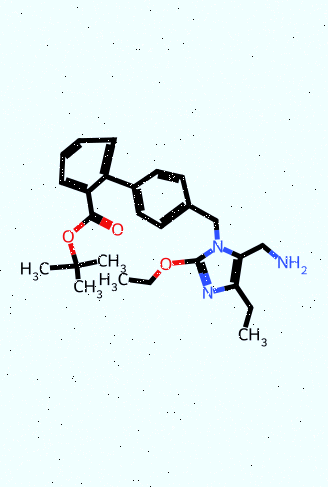 CCOc1nc(CC)c(CN)n1Cc1ccc(-c2ccccc2C(=O)OC(C)(C)C)cc1